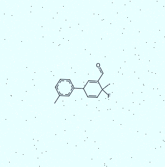 Cc1cccc(C2C=CC(C)(F)C(C=O)=C2)c1